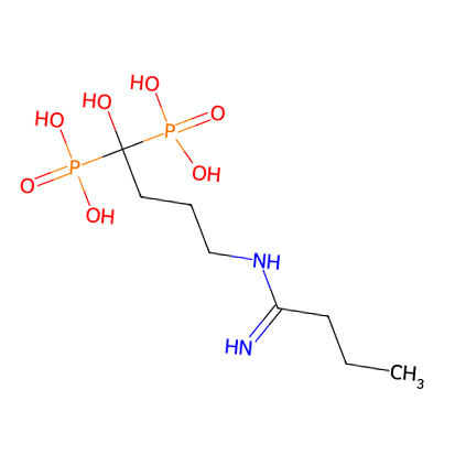 CCCC(=N)NCCCC(O)(P(=O)(O)O)P(=O)(O)O